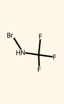 FC(F)(F)NBr